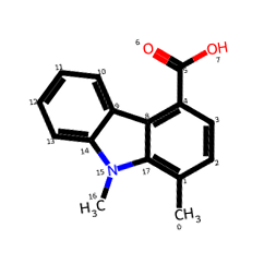 Cc1ccc(C(=O)O)c2c3ccccc3n(C)c12